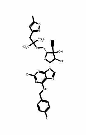 C#C[C@@]1(O)[C@@H](COC(Cc2cc(C)on2)(C(=O)O)C(=O)O)O[C@@H](n2cnc3c(NCc4ccc(F)cc4)nc(Cl)nc32)[C@@H]1O